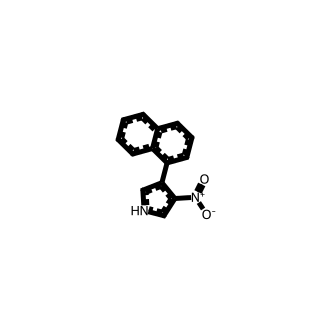 O=[N+]([O-])c1c[nH]cc1-c1cccc2ccccc12